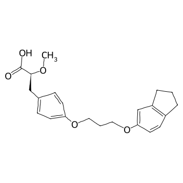 CO[C@@H](Cc1ccc(OCCCOc2ccc3c(c2)CCC3)cc1)C(=O)O